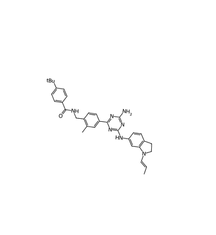 CC=CN1CCc2ccc(Nc3nc(N)nc(-c4ccc(CNC(=O)c5ccc(C(C)(C)C)cc5)c(C)c4)n3)cc21